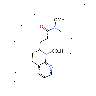 CON(C)C(=O)CCC1CCc2cccnc2N1C(=O)O